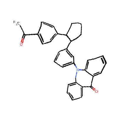 O=C(c1ccc(C2CCCC2c2cccc(-n3c4ccccc4c(=O)c4ccccc43)c2)cc1)C(F)(F)F